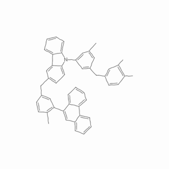 Cc1cc(Cc2ccc(C)c(C)c2)cc(-n2c3ccccc3c3cc(Cc4ccc(C)c(-c5cc6ccccc6c6ccccc56)c4)ccc32)c1